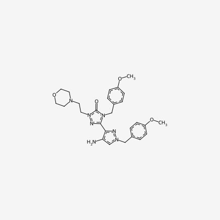 COc1ccc(Cn2cc(N)c(-c3nn(CCN4CCOCC4)c(=O)n3Cc3ccc(OC)cc3)n2)cc1